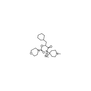 CN1CCC(C#N)(NC(=O)C(CC2CCCCC2)OC(=O)N2CCOCC2)CC1